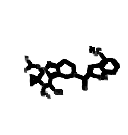 Cc1cccc2[nH]c(C(=O)N3CCc4n[nH]c(C(O)N(C)C5(COC(F)F)CC5)c4C3)cc12